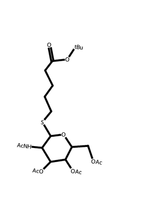 CC(=O)NC1C(SCCCCC(=O)OC(C)(C)C)OC(COC(C)=O)C(OC(C)=O)C1OC(C)=O